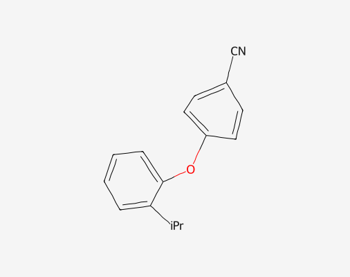 CC(C)c1ccccc1Oc1ccc(C#N)cc1